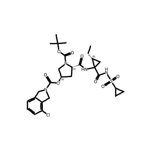 CC[C@@H]1CC1(NC(=O)[C@@H]1C[C@@H](OC(=O)N2Cc3cccc(Cl)c3C2)CN1C(=O)OC(C)(C)C)C(=O)NS(=O)(=O)C1CC1